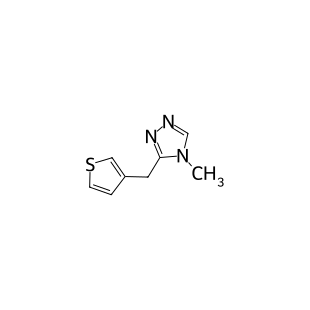 Cn1cnnc1Cc1ccsc1